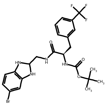 CC(C)(C)OC(=O)N[C@H](Cc1cccc(C(F)(F)F)c1)C(=O)NCC1Nc2ccc(Br)cc2N1